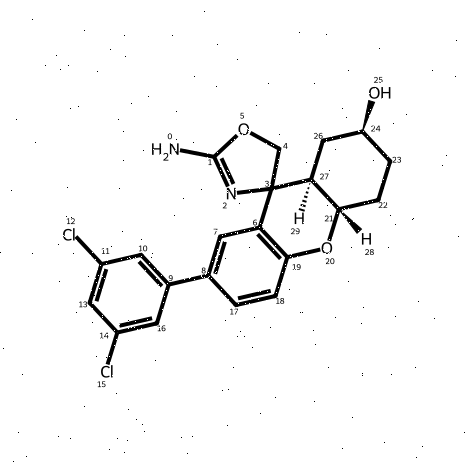 NC1=NC2(CO1)c1cc(-c3cc(Cl)cc(Cl)c3)ccc1O[C@H]1CC[C@H](O)C[C@@H]12